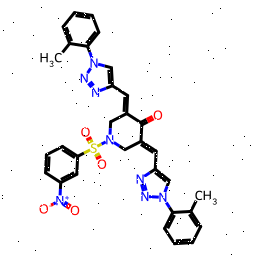 Cc1ccccc1-n1cc(C=C2CN(S(=O)(=O)c3cccc([N+](=O)[O-])c3)CC(=Cc3cn(-c4ccccc4C)nn3)C2=O)nn1